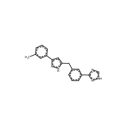 Cc1cccc(-c2cc(Cc3cccc(-c4nc[nH]n4)c3)[nH]n2)c1